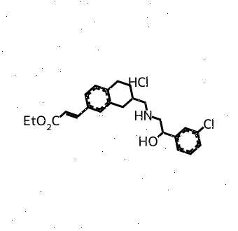 CCOC(=O)C=Cc1ccc2c(c1)CC(CNCC(O)c1cccc(Cl)c1)CC2.Cl